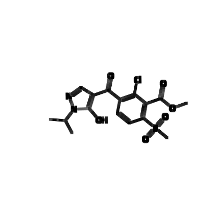 COC(=O)c1c(S(C)(=O)=O)ccc(C(=O)c2cnn(C(C)C)c2O)c1Cl